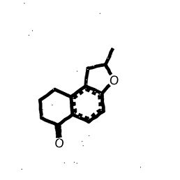 CC1Cc2c(ccc3c2CCCC3=O)O1